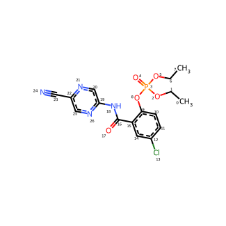 CCOP(=O)(OCC)Oc1ccc(Cl)cc1C(=O)Nc1cnc(C#N)cn1